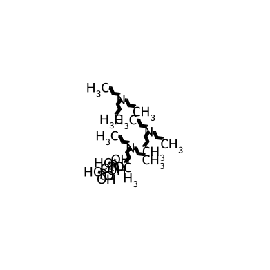 CCCCN(CCCC)CCCC.CCCCN(CCCC)CCCC.CCCCN(CCCC)CCCC.O=P(O)(O)O.O=P(O)(O)O